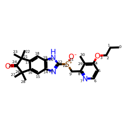 CCCOc1ccnc(C[S+]([O-])c2nc3cc4c(cc3[nH]2)C(C)(C)C(=O)C4(C)C)c1C